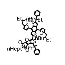 CCCCCCCN1C(=O)c2oc3c(-c4cc5c(-c6ccc(CC(CC)CCCC)s6)c6sc(C(CC)(CCC)c7ccccc7)cc6c(-c6ccc(CC(CC)CCCC)o6)c5s4)sc([C@@](C)(CCC)c4ccccc4)c3c2C1=O